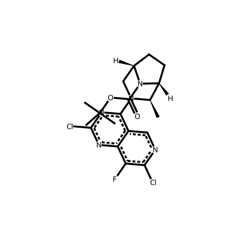 C[C@@H]1[C@H]2CC[C@@H](CN1c1nc(Cl)nc3c(F)c(Cl)ncc13)N2C(=O)OC(C)(C)C